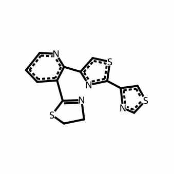 c1cnc(-c2csc(-c3cscn3)n2)c(C2=NCCS2)c1